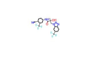 CC(O)(Cn1nnc2ccc(C(F)(F)F)cc21)C(=O)Nc1ccc(C#N)c(C(F)(F)F)c1